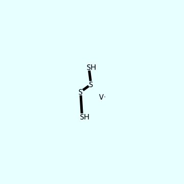 SSSS.[V]